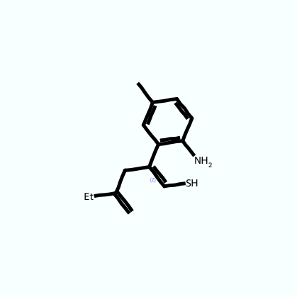 C=C(CC)C/C(=C/S)c1cc(C)ccc1N